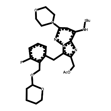 CC(=O)OCc1nc2c(NC(C)(C)C)cc(N3CCOCC3)nn2c1Cc1cccc(F)c1COC1CCCCO1